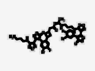 NCCCNc1nonc1-c1noc(=O)n1-c1cc(Br)c(F)cc1C1CC(CC(=O)/N=C(/N)NCCCNc2nonc2-c2noc(=O)n2-c2ccc(F)c(Br)c2)C1